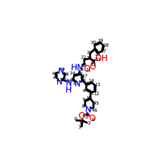 CC(C)(C)OC(=O)N1CC=C(c2cccc(-c3cc(NC(=O)CC(Cc4ccccc4)C(=O)O)cc(Nc4cnccn4)n3)c2)CC1